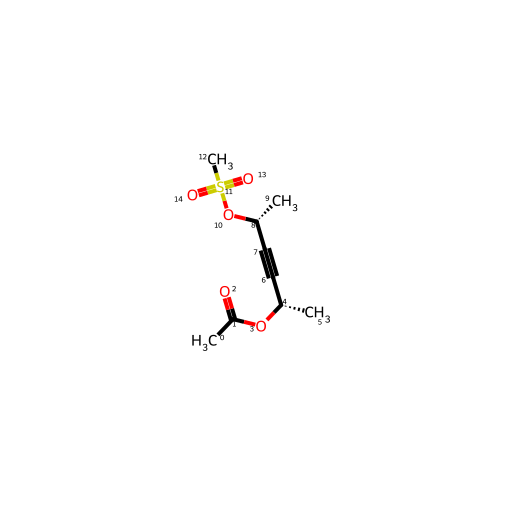 CC(=O)O[C@@H](C)C#C[C@@H](C)OS(C)(=O)=O